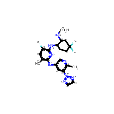 Cc1ncc(Nc2nc(NC3CCC(F)(F)CC3NC(=O)O)c(F)cc2C#N)cc1-n1nccn1